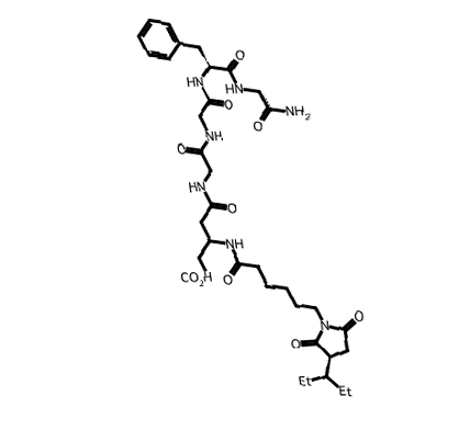 CCC(CC)C1CC(=O)N(CCCCCC(=O)NC(CC(=O)O)CC(=O)NCC(=O)NCC(=O)N[C@@H](Cc2ccccc2)C(=O)NCC(N)=O)C1=O